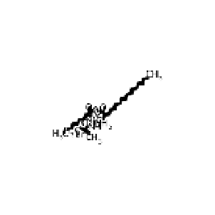 CCC(Br)(CC)C(=O)NC(N)=O.CCCCCCCCCC(=O)O.CCCCCCCCCCCCCCCCC(CC)C(=O)O